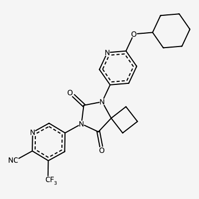 N#Cc1ncc(N2C(=O)N(c3ccc(OC4CCCCC4)nc3)C3(CCC3)C2=O)cc1C(F)(F)F